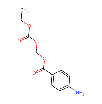 CCOC(=O)OCOC(=O)c1ccc(N)cc1